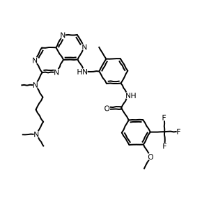 COc1ccc(C(=O)Nc2ccc(C)c(Nc3ncnc4cnc(N(C)CCCN(C)C)nc34)c2)cc1C(F)(F)F